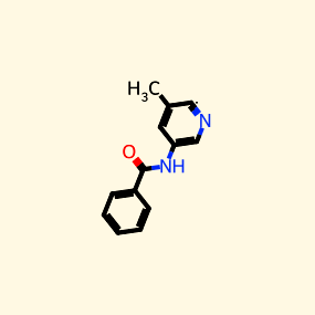 Cc1[c]ncc(NC(=O)c2ccccc2)c1